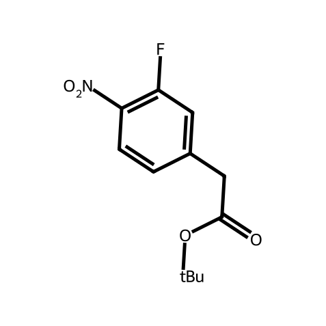 CC(C)(C)OC(=O)Cc1ccc([N+](=O)[O-])c(F)c1